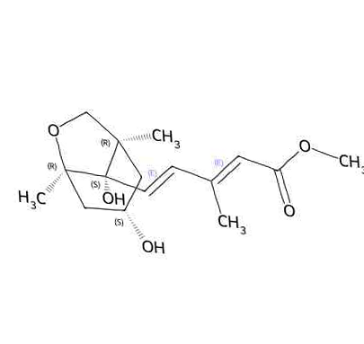 COC(=O)/C=C(C)/C=C/[C@]1(O)[C@@]2(C)CO[C@]1(C)C[C@@H](O)C2